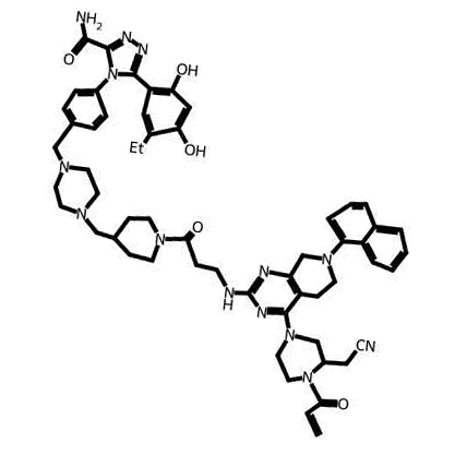 C=CC(=O)N1CCN(c2nc(NCCC(=O)N3CCC(CN4CCN(Cc5ccc(-n6c(C(N)=O)nnc6-c6cc(CC)c(O)cc6O)cc5)CC4)CC3)nc3c2CCN(c2cccc4ccccc24)C3)CC1CC#N